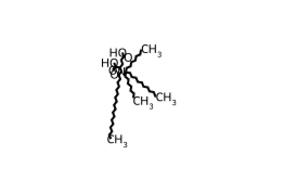 CCCCCCCCCCCCCCCCCC(=O)N(C(CCC(=O)O)C(=O)O)C(CCCCCCCC)(CCCCCCCC)CCCCCCCCCCC